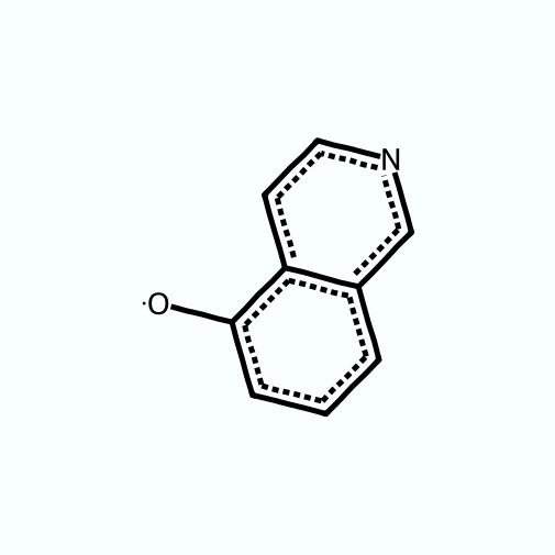 [O]c1cccc2cnccc12